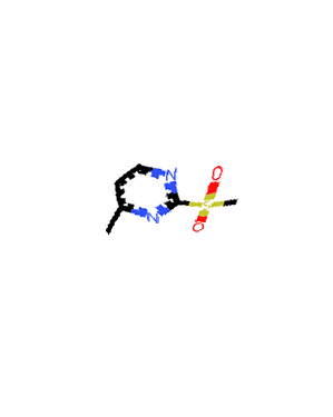 Cc1c[c]nc(S(C)(=O)=O)n1